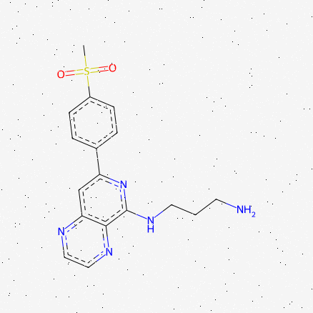 CS(=O)(=O)c1ccc(-c2cc3nccnc3c(NCCCN)n2)cc1